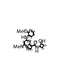 CNc1cc(Nc2cccnc2OC)nc2c(C(=O)N[C@H]3CC[C@@H]3O)cnn12